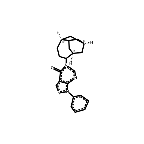 O=c1c2cnn(-c3ccccc3)c2ncn1C1CC[C@H]2C[C@H]3CC2C[C@H]1C3